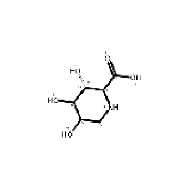 O=C(O)C1NCC(O)C(O)[C@@H]1O